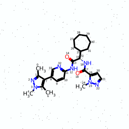 Cc1nn(C)c(C)c1-c1ccc(NC(=O)[C@@H](NC(=O)c2ccnn2C)C2CCCCCC2)nc1